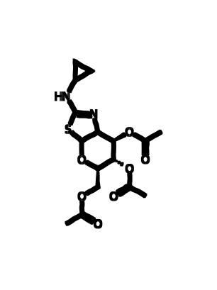 CC(=O)OC[C@H]1OC2SC(NC3CC3)=NC2[C@@H](OC(C)=O)[C@@H]1OC(C)=O